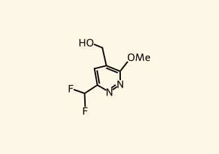 COc1nnc(C(F)F)cc1CO